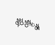 CNC(=O)c1ccc(-c2cccc3c(N4CCC(c5ncno5)CC4)ncnc23)cc1F